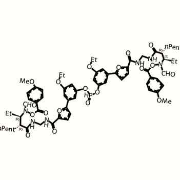 CCCCC[C@@H](C(=O)NCNC(=O)c1ccc(-c2cc(OCC)cc(O[PH](=O)Oc3cc(OCC)cc(-c4ccc(C(=O)NCNC(=O)[C@H](CCCCC)[C@@H](CC)N(C=O)OC(=O)c5ccc(OC)cc5)o4)c3)c2)o1)[C@@H](CC)N(C=O)OC(=O)c1ccc(OC)cc1